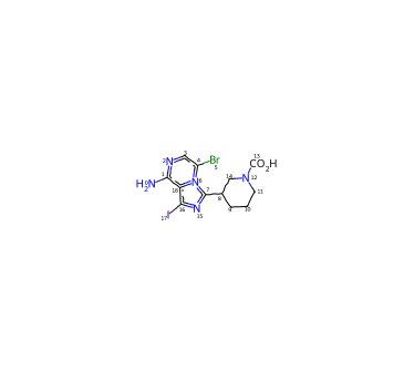 Nc1ncc(Br)n2c(C3CCCN(C(=O)O)C3)nc(I)c12